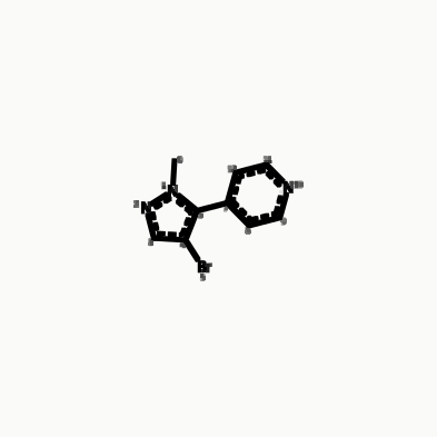 Cn1ncc(Br)c1-c1ccncc1